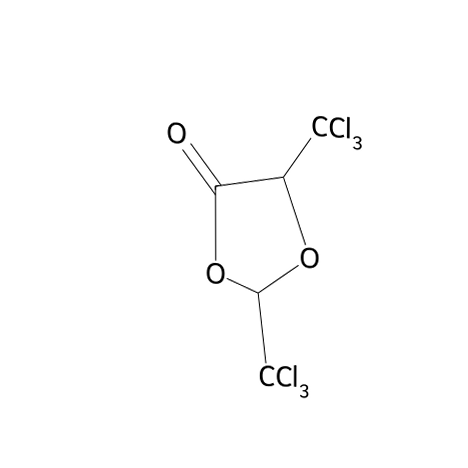 O=C1OC(C(Cl)(Cl)Cl)OC1C(Cl)(Cl)Cl